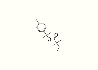 CCC(C)(C)C(=O)OC(C)(C)c1ccc(C)cc1